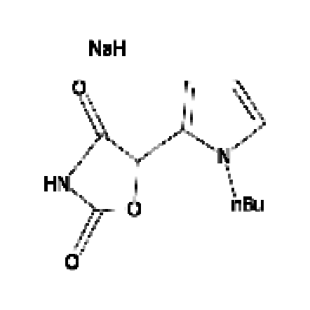 CCCCn1cccc1C1OC(=O)NC1=O.[NaH]